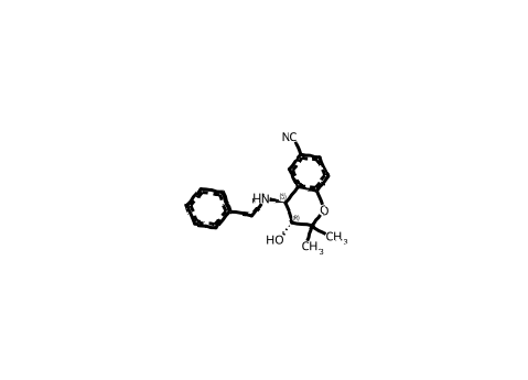 CC1(C)Oc2ccc(C#N)cc2[C@H](NCc2ccccc2)[C@H]1O